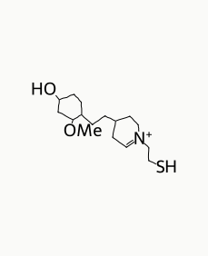 COC1CC(O)CCC1CCC1CC=[N+](CCS)CC1